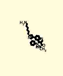 CNC(=O)c1cnc2ccc(-c3cnn(CCCCCCN)c3)cc2c1Nc1ccccc1